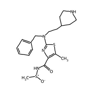 Cc1sc(N(CCC2CCNCC2)Cc2ccccc2)nc1C(=O)N[S+](C)[O-]